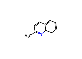 CC1=NC2CC=CC=C2C=C1